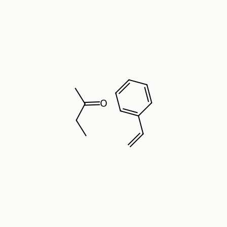 C=Cc1ccccc1.CCC(C)=O